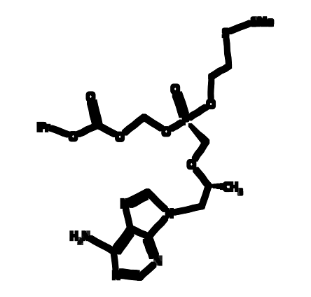 CSSCCO[P@](=O)(CO[C@H](C)Cn1cnc2c(N)ncnc21)OCOC(=O)OC(C)C